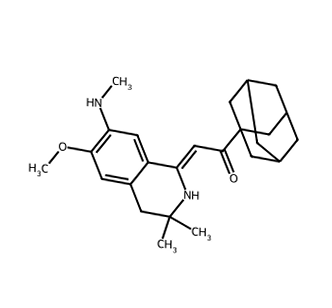 CNc1cc2c(cc1OC)CC(C)(C)N/C2=C\C(=O)C12CC3CC(CC(C3)C1)C2